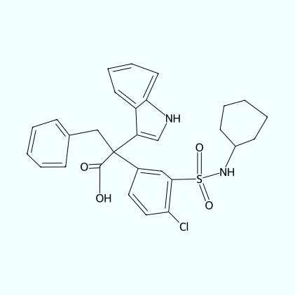 O=C(O)C(Cc1ccccc1)(c1ccc(Cl)c(S(=O)(=O)NC2CCCCC2)c1)c1c[nH]c2ccccc12